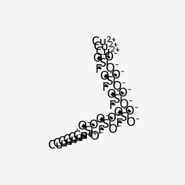 [Cu+2].[Cu+2].[Cu+2].[Cu+2].[Cu+2].[Cu+2].[Cu+2].[Cu+2].[Cu+2].[O-][Si]([O-])([O-])F.[O-][Si]([O-])([O-])F.[O-][Si]([O-])([O-])F.[O-][Si]([O-])([O-])F.[O-][Si]([O-])([O-])F.[O-][Si]([O-])([O-])F